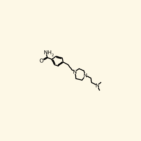 CN(C)CCN1CCN(CCc2ccc(C(N)=O)cc2)CC1